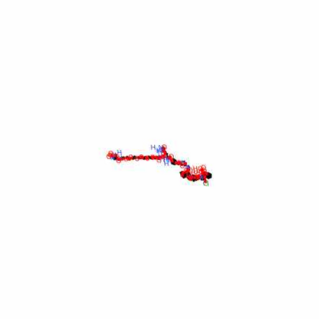 CCC1(C(=O)N2CCc3c2cc(OC(=O)N(C)CCN(C)C(=O)OCc2ccc(NC(=O)[C@H](CCCNC(N)=O)NC(=O)CNC(=O)CCOCCOCCOCCOCCOCCOCCNC(=O)c4cnc(S(C)(=O)=O)nc4)cc2)c2ccccc32)CC(C)(C(=O)N2C[C@@H](CCl)c3c2cc(OP(=O)(O)O)c2ccccc32)C1